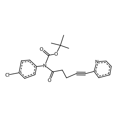 CC(C)(C)OC(=O)N(C(=O)CCC#Cc1ccccn1)c1ccc(Cl)cc1